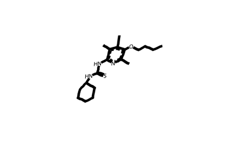 CCCCOc1c(C)nc(NC(=S)NC2CCCCC2)c(C)c1C